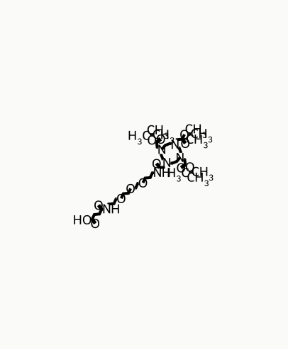 CC(C)(C)OC(=O)CN1CCN(CC(=O)NCCCOCCOCCOCCCNC(=O)CCC(=O)O)CCN(CC(=O)OC(C)(C)C)CCN(CC(=O)OC(C)(C)C)CC1